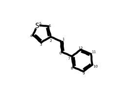 C(=Cc1ccsc1)c1ccccc1